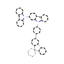 c1ccc2c(c1)-c1cc(-c3ccc(-n4c5ccccc5c5ccc(-n6c7ccccc7c7ccccc76)cc54)cc3)ccc1C21CCCCC1